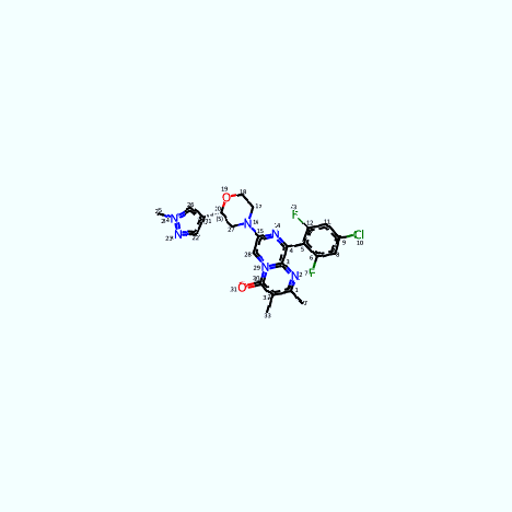 Cc1nc2c(-c3c(F)cc(Cl)cc3F)nc(N3CCO[C@@H](c4cnn(C)c4)C3)cn2c(=O)c1C